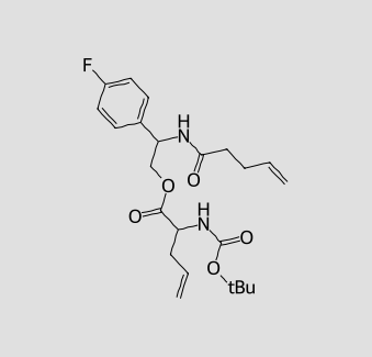 C=CCCC(=O)NC(COC(=O)C(CC=C)NC(=O)OC(C)(C)C)c1ccc(F)cc1